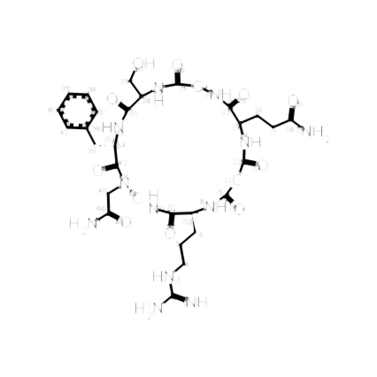 N=C(N)NCCC[C@@H]1NC(=O)CC(=O)NC(CCC(N)=O)C(=O)NCC(=O)NC(CO)C(=O)N[C@@H](Cc2ccccc2)C(=O)N(CC(N)=O)CNC1=O